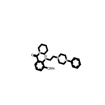 COc1cccc(C(=O)N2CCCCC2)c1NCCN1CCN(c2ccccc2)CC1